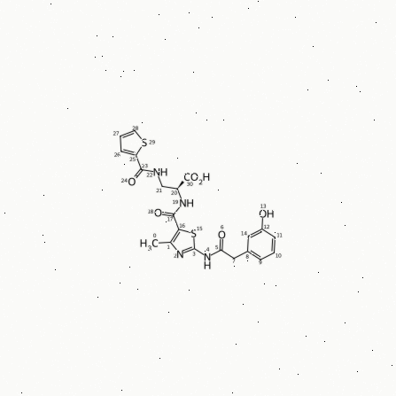 Cc1nc(NC(=O)Cc2cccc(O)c2)sc1C(=O)N[C@@H](CNC(=O)c1cccs1)C(=O)O